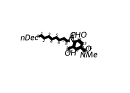 CCCCCCCCCCCCCCCCCCN(C=O)c1ccc(C(=O)NC)cc1CO